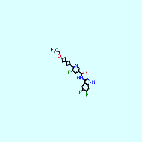 O=C(Nc1c[nH]c2cc(F)c(F)cc12)c1cnc(C2CC3(CC(OCC(F)(F)F)C3)C2)c(F)c1